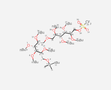 CCCCO[C@@H]([C@H](OCCCC)[C@@H](CO[Si](C)(C)C(C)(C)C)OCCCC)[C@@H](COC[C@@H](OCCCC)[C@@H](OCCCC)[C@H](OCCCC)[C@@H](COS(=O)(=O)C(F)(F)F)OCCCC)OCCCC